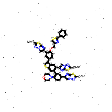 COc1nn2cc(-c3ccc(N4CCOCC4)c(-c4cc5scc(-c6ccc(OCc7csc(-c8ccccc8)n7)c(-c7cn8nc(OC)sc8n7)c6)c5cc4-c4cn5nc(OC)sc5n4)c3)nc2s1